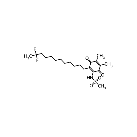 CC1=C(C)C(=O)C(NS(C)(=O)=O)=C(CCCCCCCCCCC(C)(F)F)C1=O